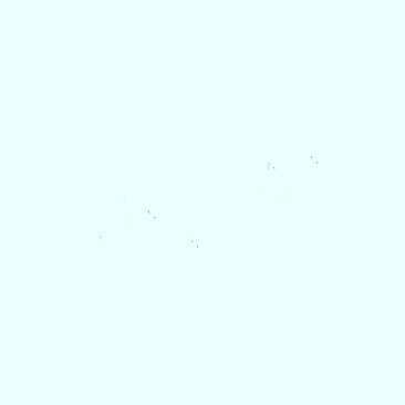 CC(C)(C)OC(=O)NCC1=NOC(COc2ccc(C#N)nc2Cl)C1